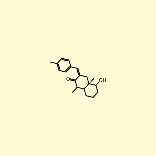 CC1C(=O)/C(=C\c2ccc(I)cc2)C[C@@]2(C)C1CCC[C@@H]2O